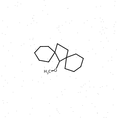 COC1C2(CCCCC2)CCC12CCCCC2